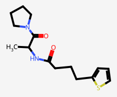 CC(NC(=O)CCCc1cccs1)C(=O)N1CCCC1